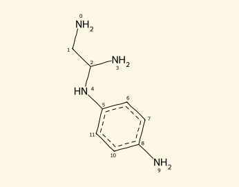 NCC(N)Nc1ccc(N)cc1